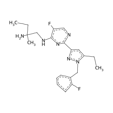 CCc1cc(-c2ncc(F)c(NCC(C)(N)CC)n2)nn1Cc1ccccc1F